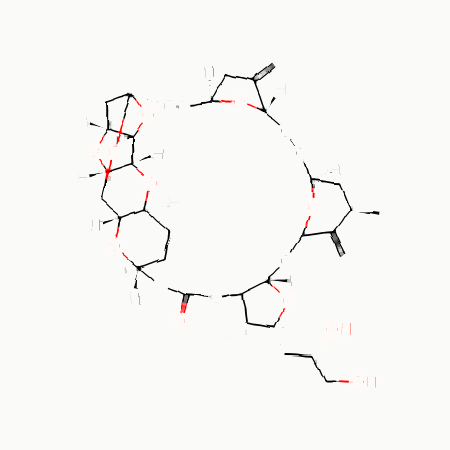 C=C1C2C[C@@H]3O[C@H](C[C@H](O)CO)[C@H](C)C3CC(=O)C[C@H]3CC[C@@H]4O[C@H]5[C@H]6O[C@]7(CC[C@H]8CC(=C)[C@H](CC[C@@H](C[C@H]1C)O2)O8)C[C@H]6O[C@H]5C(O7)[C@H]4O3